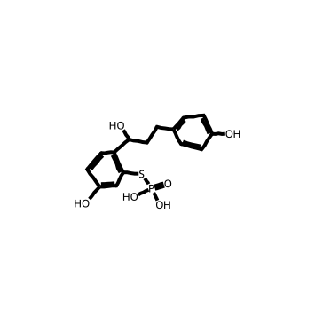 O=P(O)(O)Sc1cc(O)ccc1C(O)CCc1ccc(O)cc1